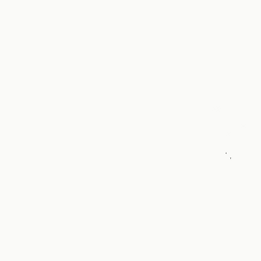 CCCCCCCCCCCCOc1ccccc1NCC